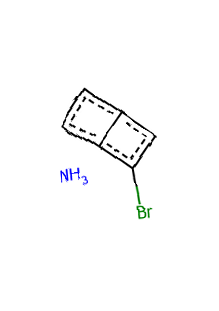 Brc1cc2ccc1-2.N